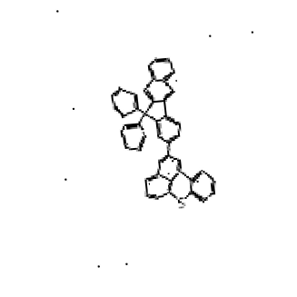 c1ccc(C2(c3ccccc3)c3cc(-c4cc5c6c(cccc6c4)Sc4ccccc4-5)ccc3-c3cc4ccccc4cc32)cc1